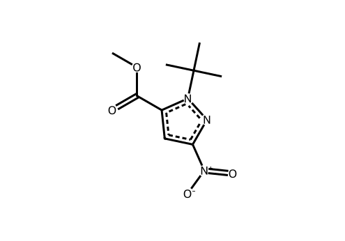 COC(=O)c1cc([N+](=O)[O-])nn1C(C)(C)C